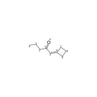 CCCC(=O)C=C1CCC1